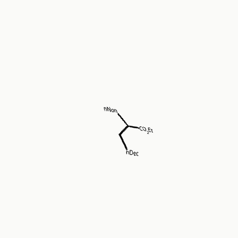 CCCCCCCCCCCC(CCCCCCCCC)C(=O)OCC